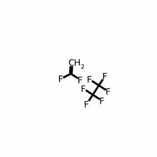 C=C(F)F.FC(F)(F)C(F)(F)F